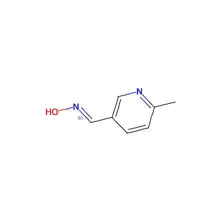 Cc1ccc(/C=N/O)cn1